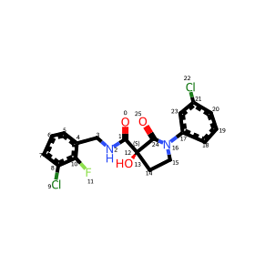 O=C(NCc1cccc(Cl)c1F)[C@@]1(O)CCN(c2cccc(Cl)c2)C1=O